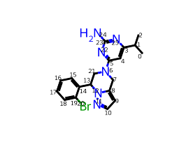 CC(C)c1cc(N2Cc3ccnn3C(c3ccccc3Br)C2)nc(N)n1